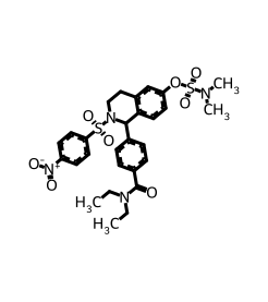 CCN(CC)C(=O)c1ccc(C2c3ccc(OS(=O)(=O)N(C)C)cc3CCN2S(=O)(=O)c2ccc([N+](=O)[O-])cc2)cc1